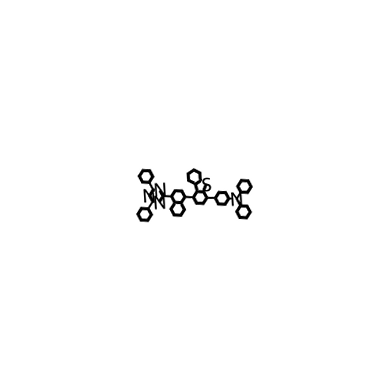 c1ccc(-c2nc(-c3ccccc3)nc(-c3ccc(-c4ccc(-c5ccc(N(c6ccccc6)c6ccccc6)cc5)c5sc6ccccc6c45)c4ccccc34)n2)cc1